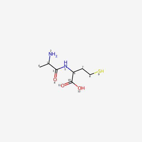 CC(N)C(=O)NC(CCS)C(=O)O